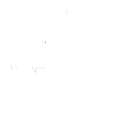 CCON=C(COc1cccc(CC(OCC)C(=O)O)c1)c1nnc(-c2cccc(Cl)c2)o1